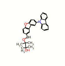 CC(C)(O)C(C)(C)OBc1ccc2oc3ccc(-n4c5ccccc5c5ccccc54)cc3c2c1